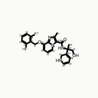 Cc1nc2c(OCc3c(F)cccc3F)cccn2c1C(=O)NC(C)(CO)C1=CC=CNC1